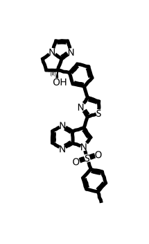 Cc1ccc(S(=O)(=O)n2cc(-c3nc(-c4cccc([C@]5(O)CCn6ccnc65)c4)cs3)c3nccnc32)cc1